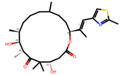 C/C(=C\c1csc(C)n1)[C@@H]1CCC(C)CCC[C@H](C)[C@H](O)[C@@H](C)C(=O)C(C)(C)[C@@H](O)CC(=O)O1